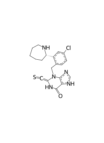 O=C1NC(=C=S)N(Cc2ccc(Cl)cc2[C@@H]2CCCCCN2)c2nc[nH]c21